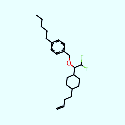 C=CCCC1CCC(C(OCc2ccc(CCCCC)cc2)C(F)F)CC1